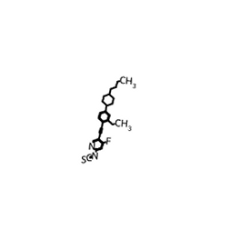 CCCCC1CCC(c2ccc(C#Cc3cnc(N=C=S)cc3F)c(CC)c2)CC1